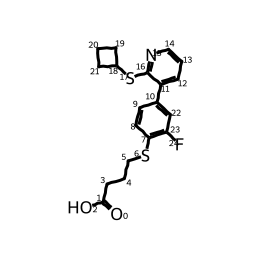 O=C(O)CCCSc1ccc(-c2cccnc2SC2CCC2)cc1F